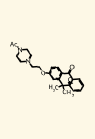 CC(=O)N1CCN(CCOc2ccc3c(c2)C(C)(C)C24C=CC=CC2(OC=C4)C3=O)CC1